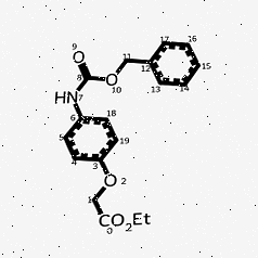 CCOC(=O)COc1ccc(NC(=O)OCc2ccccc2)cc1